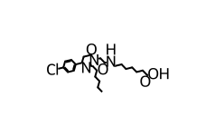 CCCCCC1=NC(c2ccc(Cl)cc2)CC(=O)N1CC(=O)NCCCCCCC(=O)O